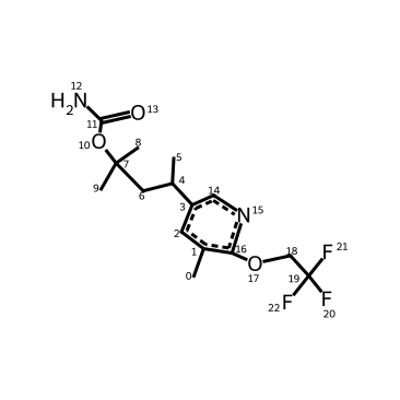 Cc1cc(C(C)CC(C)(C)OC(N)=O)cnc1OCC(F)(F)F